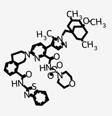 COC12CC(C)CC(Cn3ncc(-c4ccc(N5CCc6cccc(C(=O)Nc7nc8ccccc8s7)c6C5)nc4C(=O)NS(=O)(=O)N4CCOCC4)c3C)(CC(C)C1)C2